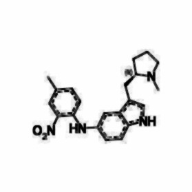 Cc1ccc(Nc2ccc3[nH]cc(C[C@H]4CCCN4C)c3c2)c([N+](=O)[O-])c1